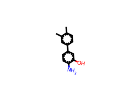 Cc1ccc(-c2ccc(N)c(O)c2)cc1C